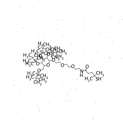 CC(C)(S)CCC(=O)NCCOCCOCCOC1OC(CO[Si](C)(C)C(C)(C)C)C(O[Si](C)(C)C(C)(C)C)C(O[Si](C)(C)C(C)(C)C)C1O[Si](C)(C)C(C)(C)C